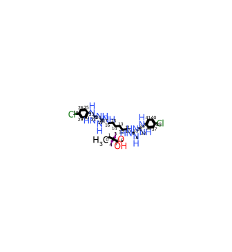 CCC(I)(I)C(=O)O.N=C(NCCCCCCNC(=N)NC(=N)Nc1ccc(Cl)cc1)NC(=N)Nc1ccc(Cl)cc1